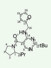 CC(C)C1CCCN1C(=O)c1cnc(C(C)(C)C)nc1NCc1ccco1